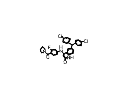 O=C(c1ccc(Nc2cc(=O)[nH]c3ccc(C(c4ccc(Cl)cc4)c4ccc(Cl)cc4)cc23)cc1F)N1CCCC1